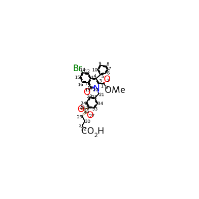 COC(=O)c1c(-c2ccccc2)c2cc(Br)ccc2c(=O)n1Cc1ccc(S(=O)(=O)CCCC(=O)O)cc1